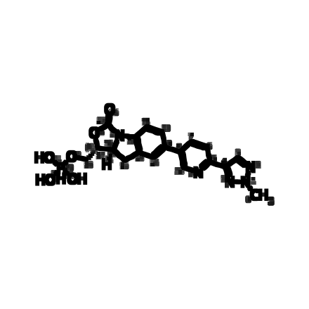 Cn1ncc(-c2ccc(-c3ccc4c(c3)C[C@H]3[C@H](CO[PH](O)(O)O)OC(=O)N43)cn2)n1